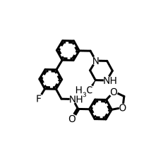 C[C@H]1CN(Cc2cccc(-c3ccc(F)c(CNC(=O)c4ccc5c(c4)OCO5)c3)c2)CCN1